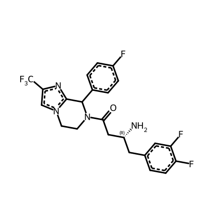 N[C@@H](CC(=O)N1CCn2cc(C(F)(F)F)nc2C1c1ccc(F)cc1)Cc1ccc(F)c(F)c1